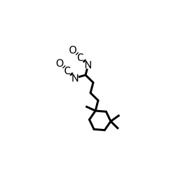 CC1(C)CCCC(C)(CCCC(N=C=O)N=C=O)C1